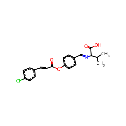 CC(C)C(/N=C/c1ccc(OC(=O)/C=C/c2ccc(Cl)cc2)cc1)C(=O)O